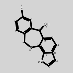 OC1c2cc(F)ccc2CSc2c1ccc1ccsc21